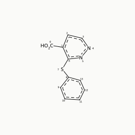 O=C(O)c1ccnnc1Sc1ccccc1